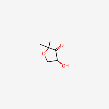 CC1(C)OC[C@H](O)C1=O